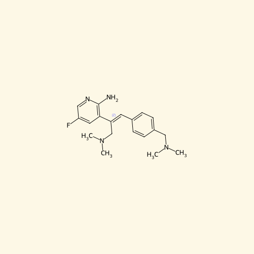 CN(C)C/C(=C\c1ccc(CN(C)C)cc1)c1cc(F)cnc1N